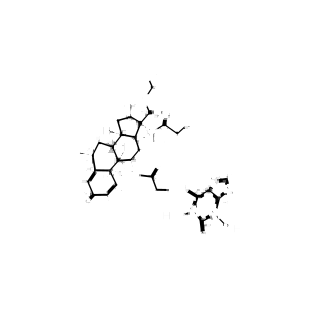 CCC(=O)O[C@H]1C[C@@]2(C)[C@@H](C[C@@H](C)[C@]2(OC(=O)CC)C(=O)SCF)[C@@H]2C[C@H](F)C3=CC(=O)C=C[C@]3(C)[C@@]12F.Cn1c(=O)c2[nH]cnc2n(C)c1=O